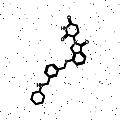 O=C1CCC(N2Cc3c(SCc4cccc(CNC5CCCCC5)c4)cccc3C2=O)C(=O)N1